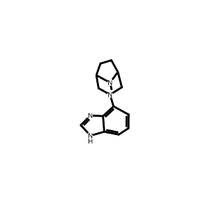 CN1C2CCC1CN(c1cccc3[nH]cnc13)C2